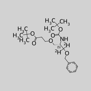 [2H]C([2H])(OCc1ccccc1)[C@H](COCCC(=O)OC(C)(C)C)NC(=O)OC(C)(C)C